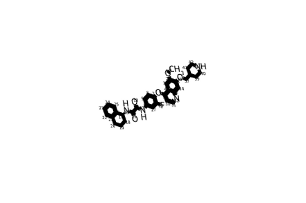 COc1cc2c(Oc3ccc(NC(=O)C(=O)N[C@H]4CCCc5ccccc54)cc3F)ccnc2cc1OCC1CCNCC1